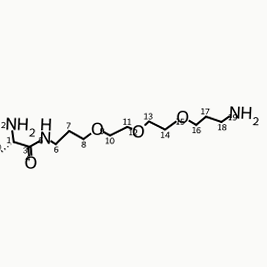 C[C@H](N)C(=O)NCCCOCCOCCOCCCN